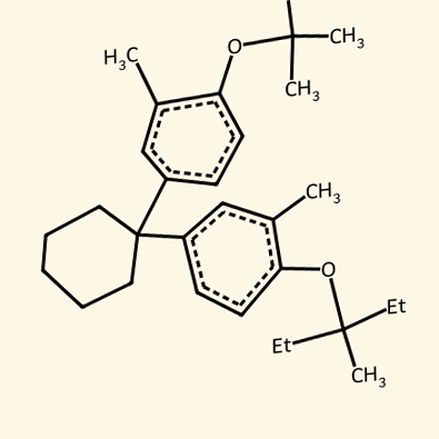 CCC(C)(C)Oc1ccc(C2(c3ccc(OC(C)(CC)CC)c(C)c3)CCCCC2)cc1C